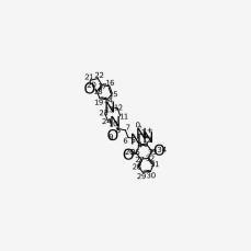 C[n+]1nc2c(n1CCC(=O)N1CCN(c3ccc4c(c3)OCC4)CC1)C(=O)c1ccccc1C2=O